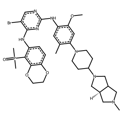 COc1cc(N2CCC(N3CC4CN(C)C[C@H]4C3)CC2)c(C)cc1Nc1ncc(Br)c(Nc2ccc3c(c2P(C)(C)=O)OCCO3)n1